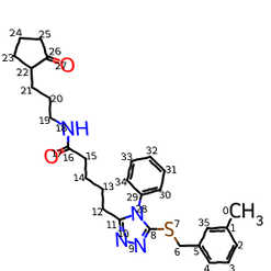 Cc1cccc(CSc2nnc(CCCCC(=O)NCCCC3CCCC3=O)n2-c2ccccc2)c1